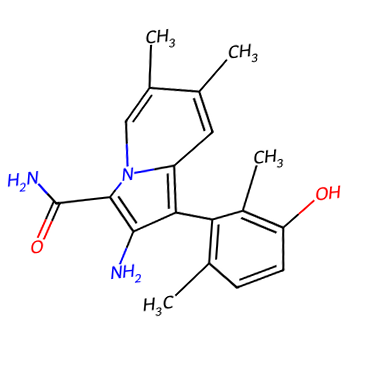 Cc1cc2c(-c3c(C)ccc(O)c3C)c(N)c(C(N)=O)n2cc1C